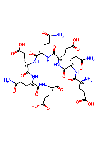 CC(=O)[C@H](CCC(=O)O)NC(=O)[C@H](CCC(N)=O)NC(=O)[C@H](CCC(=O)O)NC(=O)[C@H](CCC(N)=O)NC(=O)[C@H](CCC(=O)O)NC(=O)[C@H](CCC(N)=O)NC(=O)[C@@H](N)CCC(=O)O